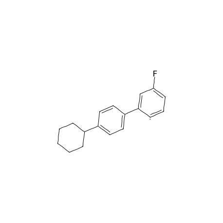 Fc1cc[c]c(-c2ccc(C3CCCCC3)cc2)c1